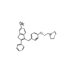 CC(=O)Oc1ccc2c(c1)CC(c1ccccc1)=C2Cc1ccc(OCCN2CCCC2)cc1